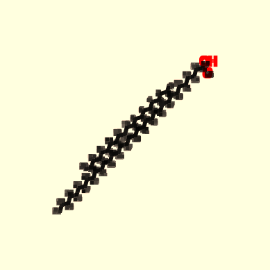 CCCCCCCCCCCCCCCCCCCCC.CCCCCCCCCCCCCCCCCCCCCCCCCCCCCCCCCCC(=O)O